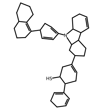 SC1CC(C2CCC3C4C=CCCC4N(C4=CCC(C5=C6CCCCC6CCC5)C=C4)C3C2)=CCC1C1=CCCC=C1